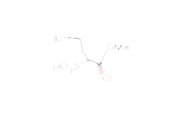 COC(=O)C(CC(C)=O)S(=O)(=O)O